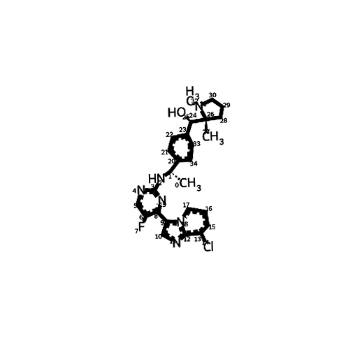 C[C@H](Nc1ncc(F)c(-c2cnc3c(Cl)cccn23)n1)c1ccc([C@@H](O)[C@@]2(C)CCCN2C)cc1